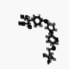 CC(C(=O)O)c1ccc(OC2CCN(c3ccc(OCC4CC4(F)F)cn3)C2)cc1